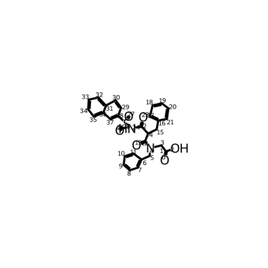 O=C(O)CN(Cc1ccccc1)C(=O)C(Cc1ccccc1)C(=O)NS(=O)(=O)c1ccc2ccccc2c1